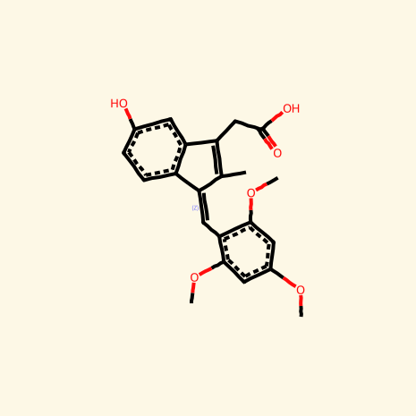 COc1cc(OC)c(/C=C2\C(C)=C(CC(=O)O)c3cc(O)ccc32)c(OC)c1